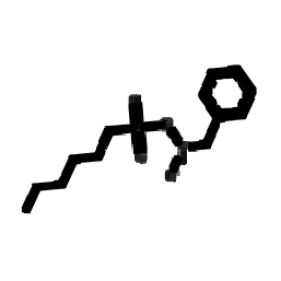 CCCCCCS(=O)(=O)O[NH+]([O-])Cc1ccccc1